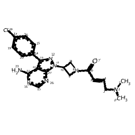 CN(C)C/C=C/C(=O)N1CC(n2nc(-c3ccc(Cl)cc3)c3c(N)ncnc32)C1